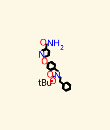 CC(C)(C)OC(=O)N(CCc1ccccc1)Cc1ccc(Oc2ccc(C(N)=O)cn2)cc1